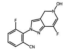 N#Cc1cccc(F)c1-n1cc2c(n1)C(F)=CN(O)C2